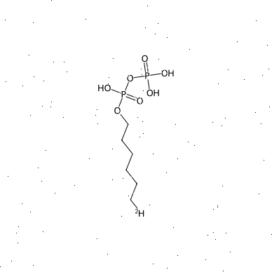 [2H]CCCCCCOP(=O)(O)OP(=O)(O)O